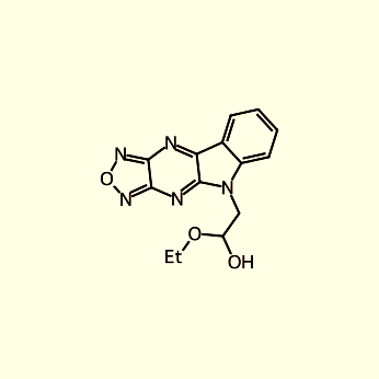 CCOC(O)Cn1c2ccccc2c2nc3nonc3nc21